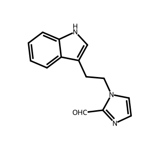 O=Cc1nccn1CCc1c[nH]c2ccccc12